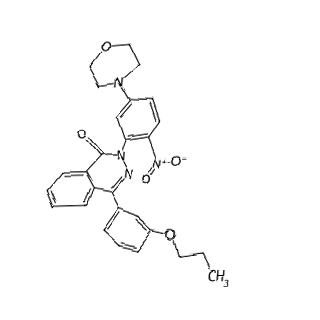 CCCOc1cccc(-c2nn(-c3cc(N4CCOCC4)ccc3[N+](=O)[O-])c(=O)c3ccccc23)c1